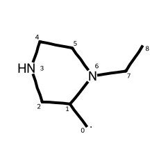 [CH2]C1CNCCN1CC